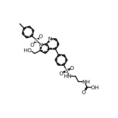 Cc1ccc(S(=O)(=O)n2c(CO)cc3c(-c4ccc(S(=O)(=O)NCCNC(=O)O)cc4)ccnc32)cc1